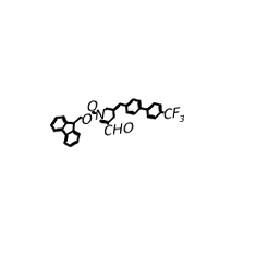 O=CC1=CN(C(=O)OCC2c3ccccc3-c3ccccc32)CC(=Cc2ccc(-c3ccc(C(F)(F)F)cc3)cc2)C1